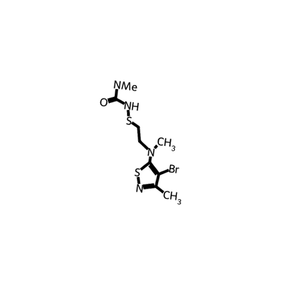 CNC(=O)NSCCN(C)c1snc(C)c1Br